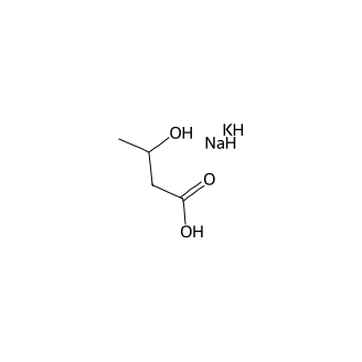 CC(O)CC(=O)O.[KH].[NaH]